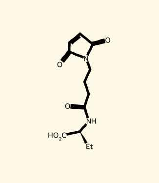 CC[C@H](NC(=O)CCCN1C(=O)C=CC1=O)C(=O)O